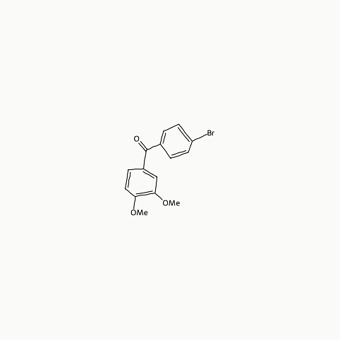 COc1ccc(C(=O)c2ccc(Br)cc2)cc1OC